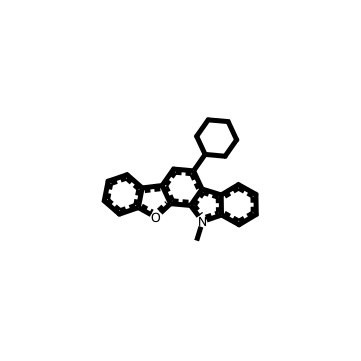 Cn1c2ccccc2c2c(C3CCCCC3)cc3c4ccccc4oc3c21